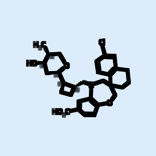 C[C@H]1CO[C@@H]([C@@H]2CC[C@H]2CN2CC3(CCCc4cc(Cl)ccc43)COc3ccc(C(=O)O)cc32)C[C@H]1O